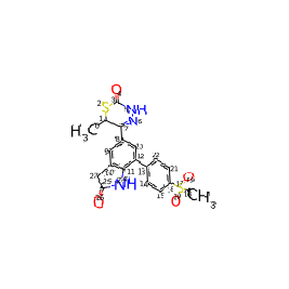 CC1SC(=O)NN=C1c1cc2c(c(-c3ccc(S(C)(=O)=O)cc3)c1)NC(=O)C2